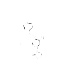 Cl.Nc1cc(N2CCCC2=O)ccc1OCc1cccc(F)c1